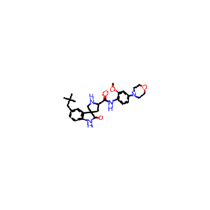 COc1cc(N2CCOCC2)ccc1NC(=O)C1CC2(CN1)C(=O)Nc1ccc(CC(C)(C)C)cc12